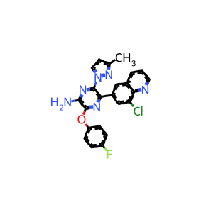 Cc1ccn(-c2nc(N)c(Oc3ccc(F)cc3)nc2-c2cc(Cl)c3ncccc3c2)n1